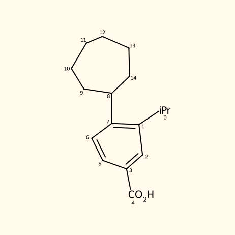 CC(C)c1cc(C(=O)O)ccc1C1CCCCCC1